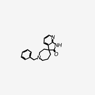 O=C1Nc2ncccc2C12CCCN(Cc1ccccc1)CC2